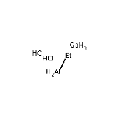 C[CH2][AlH2].Cl.Cl.[GaH3]